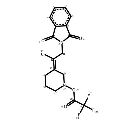 O=C1c2ccccc2C(=O)N1C/C(Cl)=C1/CCCN(OC(=O)C(F)(F)F)C1